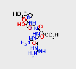 C[C@@H](O)[C@H](NC(=O)CNC(=O)[C@H](CCC(=O)O)NC(=O)[C@H](CCCNC(=N)N)NC(=O)CN)C(=O)N1CCC[C@H]1C(=O)O